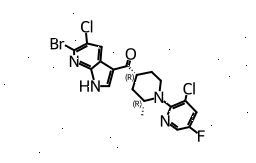 C[C@@H]1C[C@H](C(=O)c2c[nH]c3nc(Br)c(Cl)cc23)CCN1c1ncc(F)cc1Cl